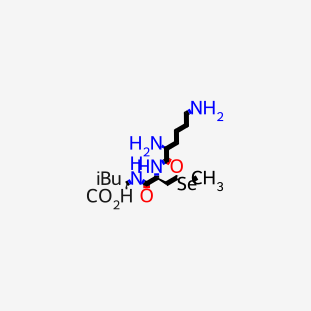 CC[C@H](C)[C@H](NC(=O)[C@H](CC[Se]C)NC(=O)[C@@H](N)CCCCN)C(=O)O